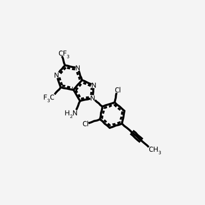 CC#Cc1cc(Cl)c(-n2nc3nc(C(F)(F)F)nc(C(F)(F)F)c3c2N)c(Cl)c1